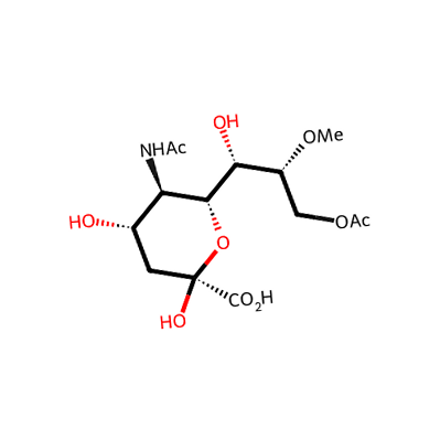 CO[C@H](COC(C)=O)[C@@H](O)[C@@H]1O[C@](O)(C(=O)O)C[C@H](O)[C@H]1NC(C)=O